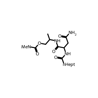 CCCCCCCC(=O)NC(CC(N)=O)C(=O)NC(C)COC(=O)NC